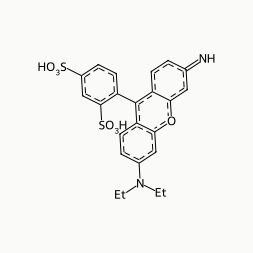 CCN(CC)c1ccc2c(-c3ccc(S(=O)(=O)O)cc3S(=O)(=O)O)c3ccc(=N)cc-3oc2c1